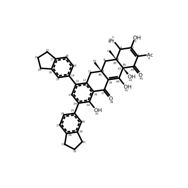 CC(=O)C1=C(O)C(C(C)C)[C@@]2(C)C[C@@]3(C)Cc4c(-c5ccc6c(c5)CCC6)cc(-c5ccc6c(c5)CCC6)c(O)c4C(=O)C3=C(O)[C@@]2(O)C1=O